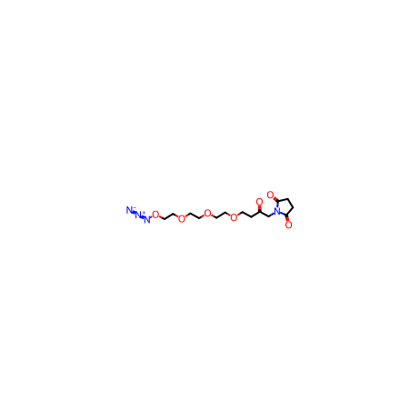 [N-]=[N+]=NOCCOCCOCCOCCC(=O)CN1C(=O)CCC1=O